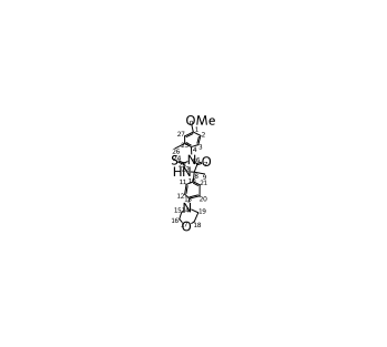 COc1ccc(N2C(=O)C(C)(c3ccc(N4CCOCC4)cc3)NC2=S)c(C)c1